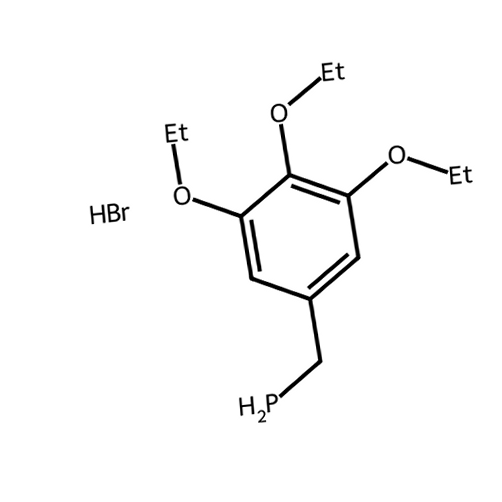 Br.CCOc1cc(CP)cc(OCC)c1OCC